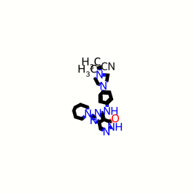 CC(C)(C#N)N1CCN(c2ccc(Nc3nc(N4CCCCCC4)nc4cn[nH]c(=O)c34)cc2)CC1